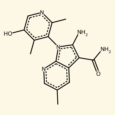 Cc1cnc2c(c1)c(C(N)=O)c(N)n2-c1c(C)ncc(O)c1C